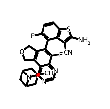 CN1CC2CC(C1)N2c1ncnc2c(F)c(-c3c(F)ccc4sc(N)c(C#N)c34)c3c(c12)COC3